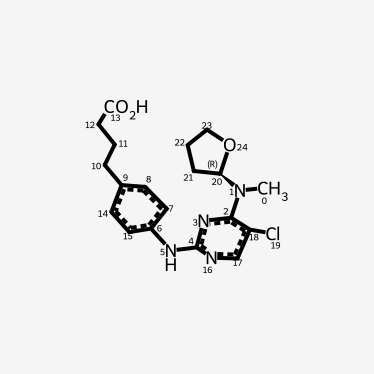 CN(c1nc(Nc2ccc(CCCC(=O)O)cc2)ncc1Cl)[C@H]1CCCO1